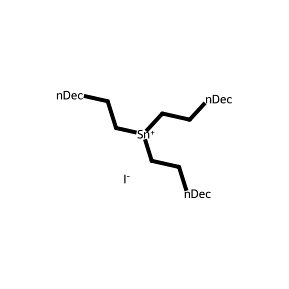 CCCCCCCCCCC[CH2][Sn+]([CH2]CCCCCCCCCCC)[CH2]CCCCCCCCCCC.[I-]